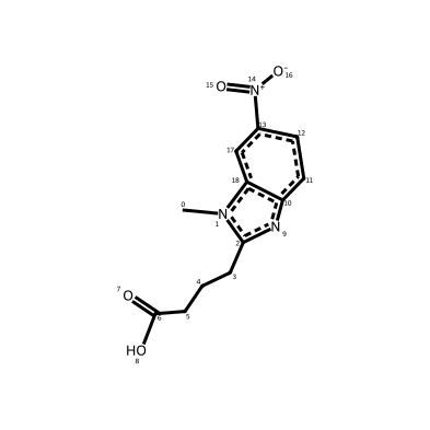 Cn1c(CCCC(=O)O)nc2ccc([N+](=O)[O-])cc21